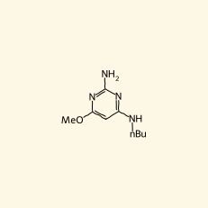 CCCCNc1cc(OC)nc(N)n1